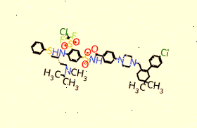 CC(C)N(C)CC[C@H](CSc1ccccc1)Nc1ccc(S(=O)(=O)NC(=O)c2ccc(N3CCN(CC4=C(c5ccc(Cl)cc5)CC(C)(C)CC4)CC3)cc2)cc1S(=O)(=O)C(F)(F)Cl